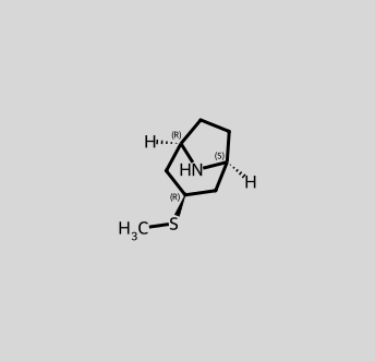 CS[C@H]1C[C@H]2CC[C@@H](C1)N2